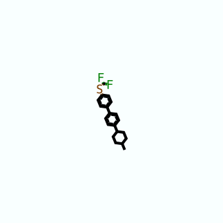 CC1CCC(c2ccc(-c3ccc(SC(F)F)cc3)cc2)CC1